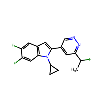 CC(F)c1cc(-c2cc3cc(F)c(F)cc3n2C2CC2)cnn1